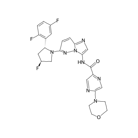 O=C(Nc1cnc2ccc(N3C[C@@H](F)C[C@@H]3c3cc(F)ccc3F)nn12)c1cnc(N2CCOCC2)cn1